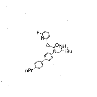 CCCc1ccc(-c2ccc(N(C[C@@H](N)[C@@H](C)CC)C(=O)[C@H]3C[C@@H]3c3cccc(F)n3)cc2)cc1